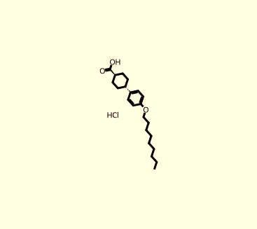 CCCCCCCCCOc1ccc([C@H]2CC[C@H](C(=O)O)CC2)cc1.Cl